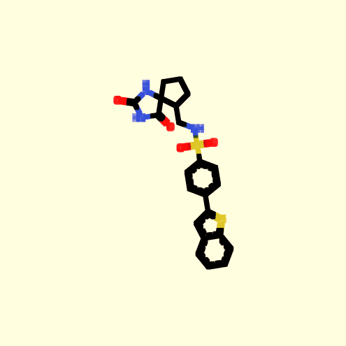 O=C1NC(=O)C2(CCCC2CNS(=O)(=O)c2ccc(-c3cc4ccccc4s3)cc2)N1